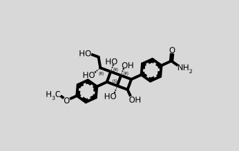 COc1ccc(C2[C@]3(O)C(O)C(c4ccc(C(N)=O)cc4)[C@]3(O)[C@]2(O)[C@H](O)CO)cc1